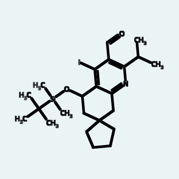 CC(C)c1nc2c(c(I)c1C=O)C(O[Si](C)(C)C(C)(C)C)CC1(CCCC1)C2